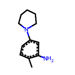 Cc1ccc(N2CCCCC2)cc1N